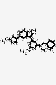 CCN(Cc1ccccc1)c1cc(-c2c[nH]c3ncc(-c4cnn(C)c4)cc23)nc(N)n1